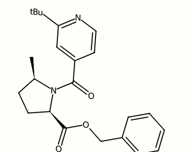 C[C@@H]1CC[C@H](C(=O)OCc2ccccc2)N1C(=O)c1ccnc(C(C)(C)C)c1